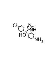 Cc1ncc(C(O)(c2ccc(N)cc2)c2ccc(Cl)cc2)[nH]1